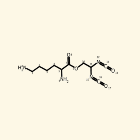 NCCCCC(N)C(=O)OCC(N=C=O)N=C=O